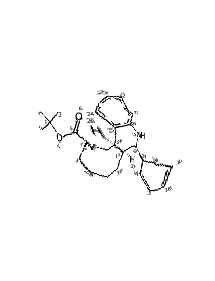 CC(C)(C)OC(=O)N1CCC[C@@H]2[C@H](C3C=CC=CC3)Nc3ccccc3[C@@H]21